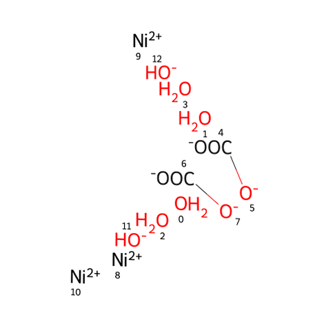 O.O.O.O.O=C([O-])[O-].O=C([O-])[O-].[Ni+2].[Ni+2].[Ni+2].[OH-].[OH-]